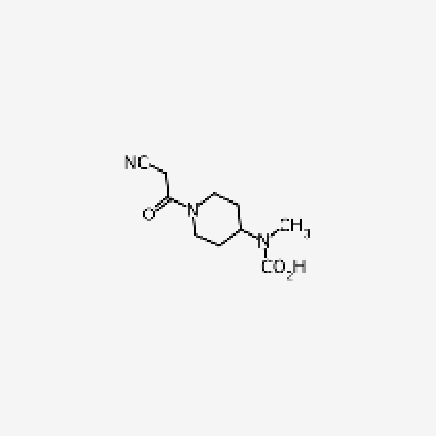 CN(C(=O)O)C1CCN(C(=O)CC#N)CC1